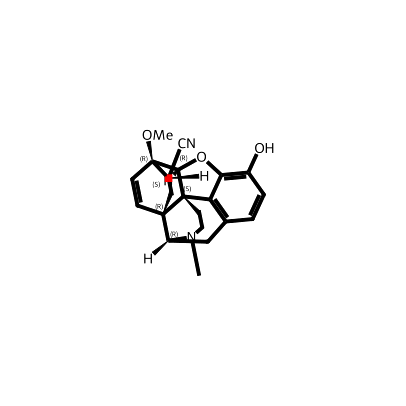 CO[C@]12C=C[C@@]3(C[C@H]1C#N)[C@H]1Cc4ccc(O)c5c4[C@@]3(CCN1C)[C@H]2O5